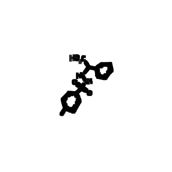 Cc1ccc(S(=O)(=O)NNC(C(=O)O)c2ccccc2)cc1